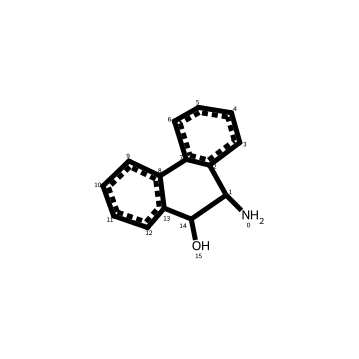 NC1c2ccccc2-c2ccccc2C1O